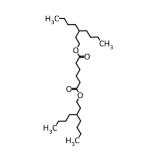 CCCCC(CCCC)CCOC(=O)CCCCC(=O)OCCC(CCCC)CCCC